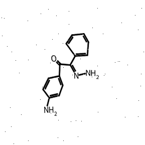 NN=C(C(=O)c1ccc(N)cc1)c1ccccc1